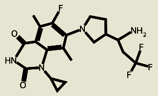 Cc1c(F)c(N2CCC(C(N)CC(F)(F)F)C2)c(C)c2c1c(=O)[nH]c(=O)n2C1CC1